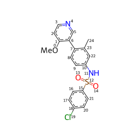 COc1ccncc1-c1ccc(NS(=O)(=O)c2ccc(Cl)cc2)cc1C